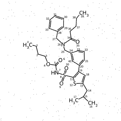 CCCCOC(=O)NS(=O)(=O)c1sc(CC(C)C)cc1-c1cccc(CN(Cc2ccccc2)C(=O)CCCC)c1